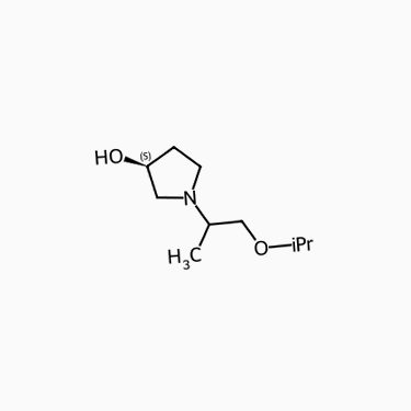 CC(C)OCC(C)N1CC[C@H](O)C1